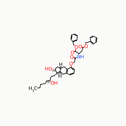 CCCCC[C@H](O)CC[C@@H]1[C@H]2Cc3cccc(OCC(=O)NC(CC(=O)OCc4ccccc4)C(=O)OCc4ccccc4)c3C[C@H]2C[C@H]1O